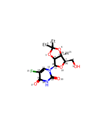 CCC1(CC)OC2[C@@H](O1)[C@@H](CO)O[C@H]2n1cc(F)c(=O)[nH]c1=O